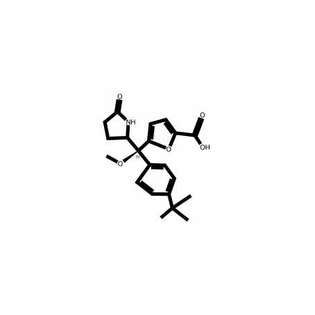 CO[C@](c1ccc(C(C)(C)C)cc1)(c1ccc(C(=O)O)o1)C1CCC(=O)N1